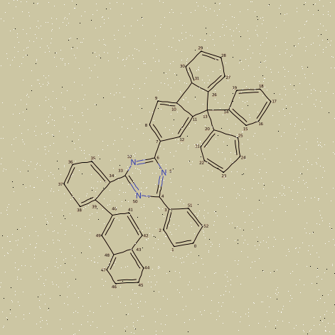 c1ccc(-c2nc(-c3ccc4c(c3)C(c3ccccc3)(c3ccccc3)c3ccccc3-4)nc(-c3ccccc3-c3ccc4ccccc4c3)n2)cc1